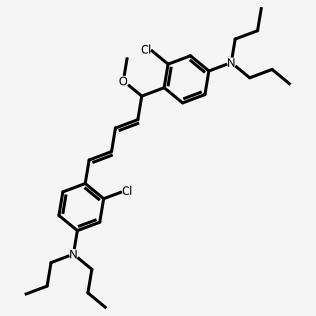 CCCN(CCC)c1ccc(C=CC=CC(OC)c2ccc(N(CCC)CCC)cc2Cl)c(Cl)c1